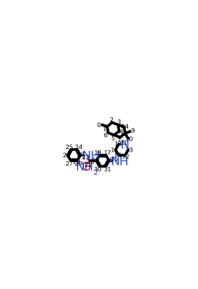 CC1CC2CC(C1)CC(C)(CN1CCC(Nc3ccc(C(=O)Nc4ccccc4N)cc3)CC1)C2